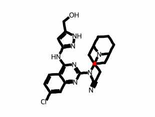 CN(c1nc(Nc2cc(CO)[nH]n2)c2ccc(Cl)cc2n1)C1CC2CCCC(C1)N2CCC#N